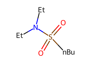 CCCCS(=O)(=O)N(CC)CC